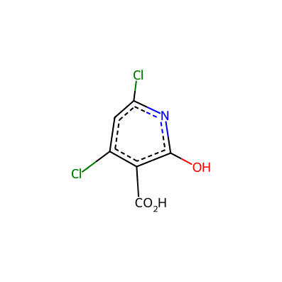 O=C(O)c1c(Cl)cc(Cl)nc1O